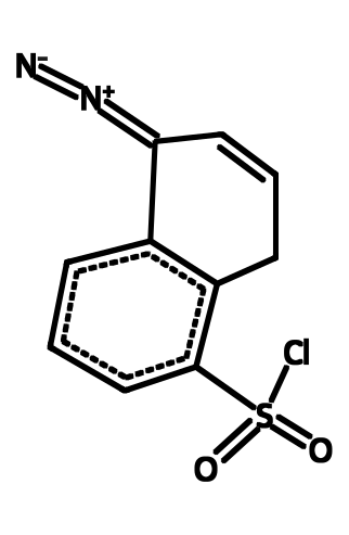 [N-]=[N+]=C1C=CCc2c1cccc2S(=O)(=O)Cl